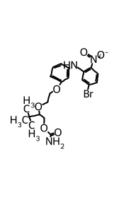 CC(C)(C)C(COC(N)=O)OCCOc1cccc(Nc2cc(Br)ccc2[N+](=O)[O-])c1